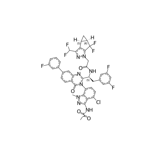 Cn1nc(NS(C)(=O)=O)c2c(Cl)ccc(-n3c([C@H](Cc4cc(F)cc(F)c4)NC(=O)Cn4nc(C(F)F)c5c4C(F)(F)[C@@H]4C[C@H]54)nc4cc(-c5cccc(F)c5)ccc4c3=O)c21